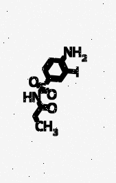 CCC(=O)NS(=O)(=O)c1ccc(N)c(I)c1